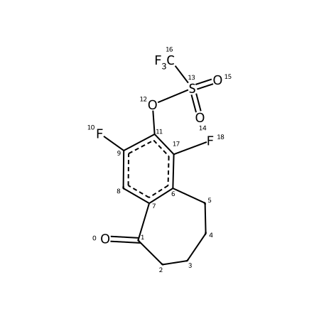 O=C1CCCCc2c1cc(F)c(OS(=O)(=O)C(F)(F)F)c2F